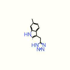 Cc1ccc2c(Cc3nnn[nH]3)[c][nH]c2c1